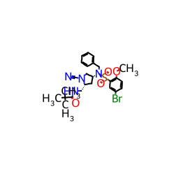 COc1ccc(Br)cc1S(=O)(=O)N(Cc1ccccc1)[C@@H]1C[C@H](CNC(=O)C(C)(C)C)N(C#N)C1